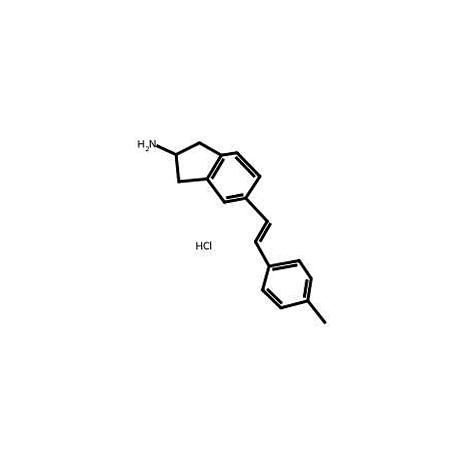 Cc1ccc(C=Cc2ccc3c(c2)CC(N)C3)cc1.Cl